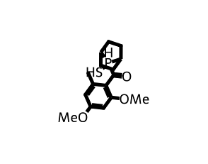 COc1cc(C)c(C(=O)[PH]2(S)C3CCC2CC3)c(OC)c1